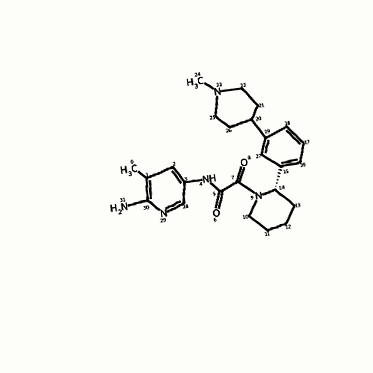 Cc1cc(NC(=O)C(=O)N2CCCC[C@H]2c2cccc(C3CCN(C)CC3)c2)cnc1N